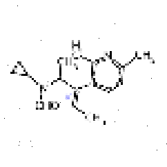 C/C=C(\c1ccc(C)nc1C)C(C)N(C=O)C1CC1